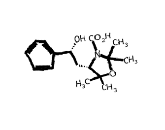 CC1(C)OC(C)(C)N(C(=O)O)[C@H]1C[C@@H](O)c1ccccc1